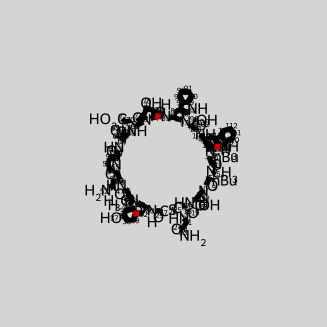 CCCC[C@H]1C(=O)N(C)[C@@H](CCCC)C(=O)N[C@@H](CO)C(=O)N[C@H](C(=O)NCC(N)=O)CSCC(=O)N[C@@H](Cc2ccc(O)cc2)C(=O)N(C)[C@@H](C)C(=O)N[C@@H](CCN)C(=O)N2CCC[C@H]2C(=O)N[C@@H](CO)C(=O)N[C@@H](CCC(=O)O)C(=O)N2C[C@H](O)C[C@H]2C(=O)N[C@@H](Cc2c[nH]c3ccccc23)C(=O)N[C@@H](CO)C(=O)N[C@@H](Cc2c[nH]c3ccccc23)C(=O)N1C